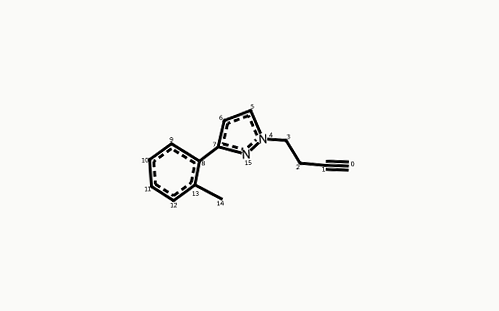 C#CCCn1ccc(-c2ccccc2C)n1